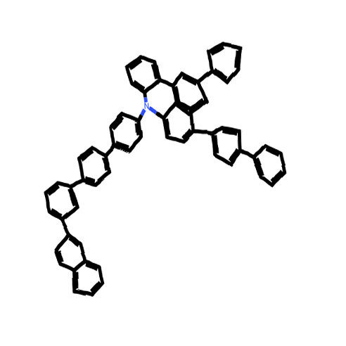 c1ccc(-c2ccc(-c3ccc(N(c4ccc(-c5ccc(-c6cccc(-c7ccc8ccccc8c7)c6)cc5)cc4)c4ccccc4-c4cccc(-c5ccccc5)c4)cc3)cc2)cc1